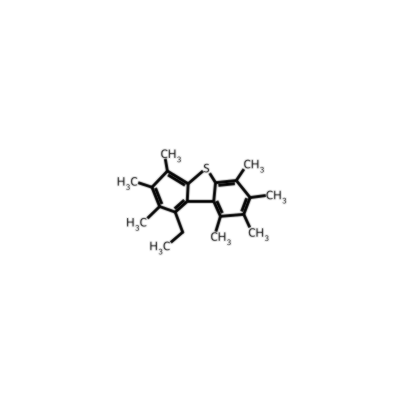 CCc1c(C)c(C)c(C)c2sc3c(C)c(C)c(C)c(C)c3c12